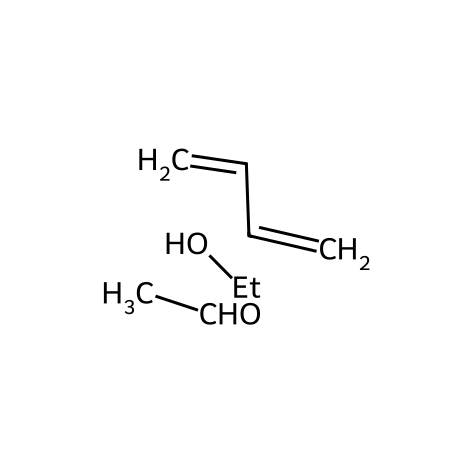 C=CC=C.CC=O.CCO